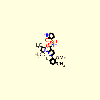 COc1c(C)cccc1-c1ccc(C(=O)NS(=O)(=O)c2ccc[nH]c2=O)c(N2C[C@@H](C)CC2(C)C)n1